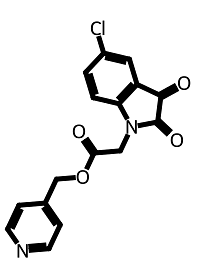 O=C(CN1C(=O)C(=O)c2cc(Cl)ccc21)OCc1ccncc1